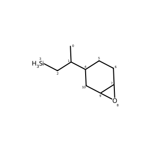 CC(C[SiH3])C1CCC2OC2C1